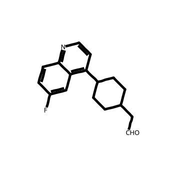 O=CCC1CCC(c2ccnc3ccc(F)cc23)CC1